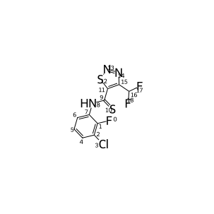 Fc1c(Cl)cccc1NC(=S)c1snnc1C(F)F